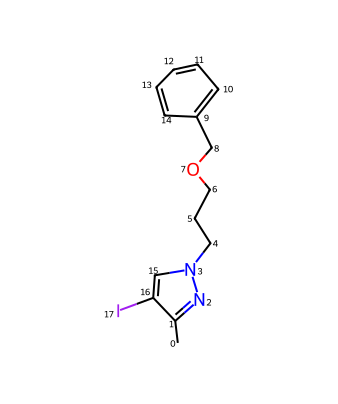 Cc1nn(CCCOCc2ccccc2)cc1I